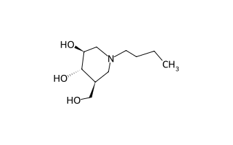 CCCCN1C[C@@H](CO)[C@H](O)[C@@H](O)C1